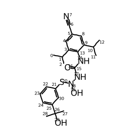 CC(C)c1cc(C#N)cc(C(C)C)c1NC(=O)NN(O)Sc1cccc(C(C)(C)O)c1